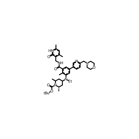 CCN(c1cc(-c2ccc(CN3CCOCC3)nc2)cc(C(=O)NCc2c(C)cc(C)[nH]c2=O)c1C)C1CC(C)N(C(=O)OC(C)(C)C)[C@H](C)C1